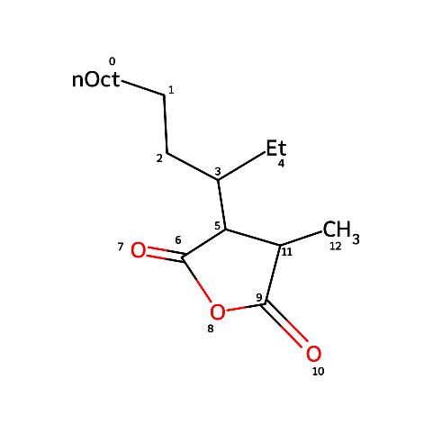 CCCCCCCCCCC(CC)C1C(=O)OC(=O)C1C